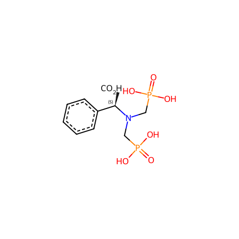 O=C(O)[C@H](c1ccccc1)N(CP(=O)(O)O)CP(=O)(O)O